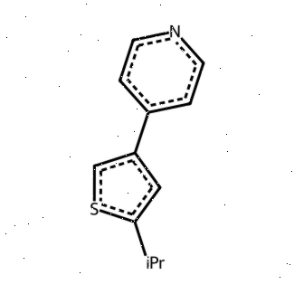 CC(C)c1cc(-c2ccncc2)cs1